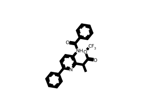 CC(C(=O)OC(F)(F)F)c1nc(-c2ccccc2)ccc1NC(=O)c1ccccc1